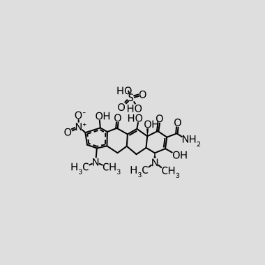 CN(C)c1cc([N+](=O)[O-])c(O)c2c1CC1CC3[C@H](N(C)C)C(O)=C(C(N)=O)C(=O)[C@@]3(O)C(O)=C1C2=O.O=S(=O)(O)O